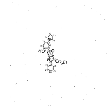 CCOC(=O)c1sc(NC(=O)c2cc(-n3cccc3)ccc2O)nc1-c1ccccc1